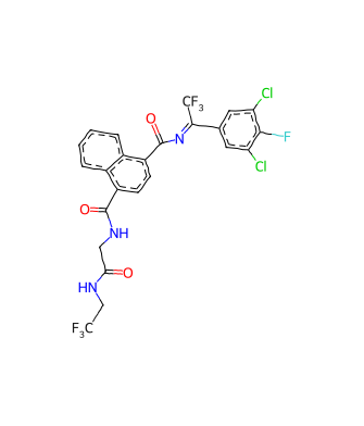 O=C(CNC(=O)c1ccc(C(=O)/N=C(/c2cc(Cl)c(F)c(Cl)c2)C(F)(F)F)c2ccccc12)NCC(F)(F)F